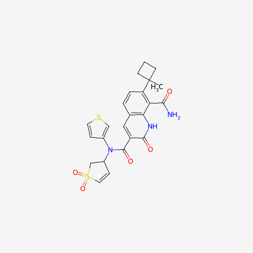 CC1(c2ccc3cc(C(=O)N(c4ccsc4)C4C=CS(=O)(=O)C4)c(=O)[nH]c3c2C(N)=O)CCC1